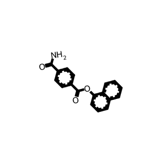 NC(=O)c1ccc(C(=O)Oc2cccc3ccccc23)cc1